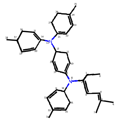 CC/C(=C\C=C(C)C)N(C1=CCC(N(C2=CCC(C)C=C2)C2=CC=C(C)CC2)C=C1)C1C=CC(C)=CC1